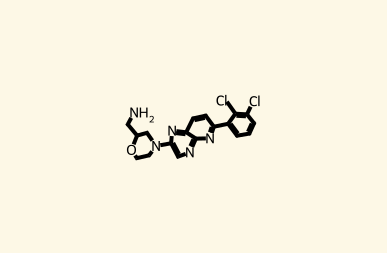 NCC1CN(c2cnc3nc(-c4cccc(Cl)c4Cl)ccc3n2)CCO1